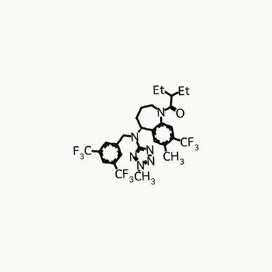 CCC(CC)C(=O)N1CCC[C@H](N(Cc2cc(C(F)(F)F)cc(C(F)(F)F)c2)c2nnn(C)n2)c2cc(C)c(C(F)(F)F)cc21